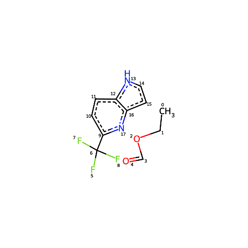 CCOC=O.FC(F)(F)c1ccc2[nH]ccc2n1